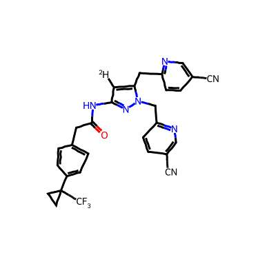 [2H]c1c(NC(=O)Cc2ccc(C3(C(F)(F)F)CC3)cc2)nn(Cc2ccc(C#N)cn2)c1Cc1ccc(C#N)cn1